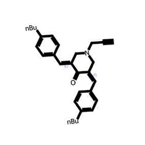 C#CCN1C/C(=C/c2ccc(CCCC)cc2)C(=O)/C(=C/c2ccc(CCCC)cc2)C1